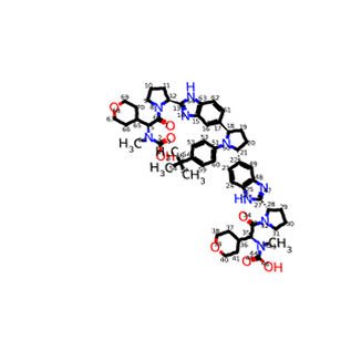 CN(C(=O)O)[C@H](C(=O)N1CCC[C@H]1c1nc2cc([C@H]3CC[C@H](c4ccc5[nH]c([C@@H]6CCCN6C(=O)[C@H](C6CCOCC6)N(C)C(=O)O)nc5c4)N3c3ccc(C(C)(C)C)cc3)ccc2[nH]1)C1CCOCC1